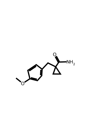 COc1ccc(CC2(C(N)=O)CC2)cc1